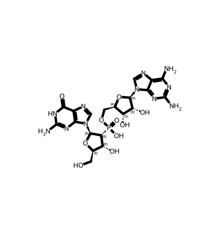 Nc1nc(N)c2ncn([C@@H]3O[C@H](COP(=O)(O)[C@@H]4[C@H](O)[C@@H](CO)O[C@H]4n4cnc5c(=O)[nH]c(N)nc54)[C@@H](O)[C@H]3O)c2n1